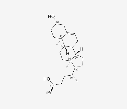 CC(C)[C@@H](O)CC[C@@H](C)[C@H]1CC[C@H]2C3CC=C4C[C@@H](O)CC[C@]4(C)[C@H]3CC[C@]12C